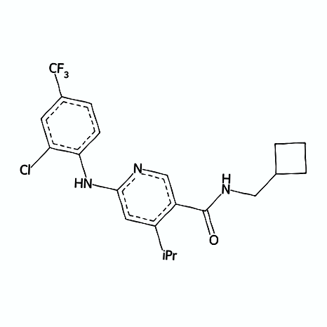 CC(C)c1cc(Nc2ccc(C(F)(F)F)cc2Cl)ncc1C(=O)NCC1CCC1